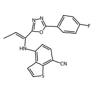 C/C=C(\Nc1ccc(C#N)c2sccc12)c1nnc(-c2ccc(F)cc2)o1